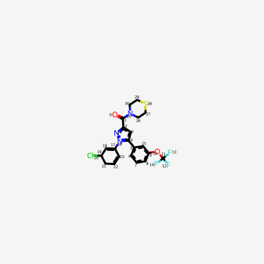 O=C(c1cc(-c2cccc(OC(F)(F)F)c2)n(C2=CC(Cl)CC=C2)n1)N1CCSCC1